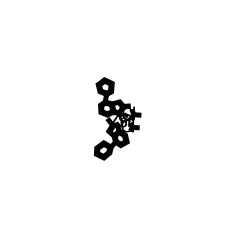 CC1=Cc2c(-c3ccccc3)cccc2[CH]1[Zr]([Cl])([Cl])([CH]1C(C)=Cc2c(-c3ccccc3)cccc21)=[Si](C(C)C)C(C)C